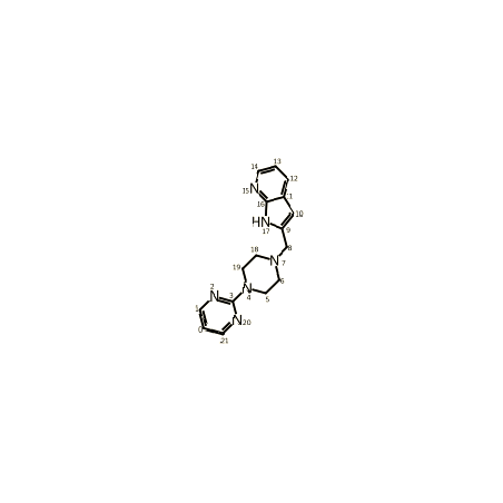 c1cnc(N2CCN(Cc3cc4cccnc4[nH]3)CC2)nc1